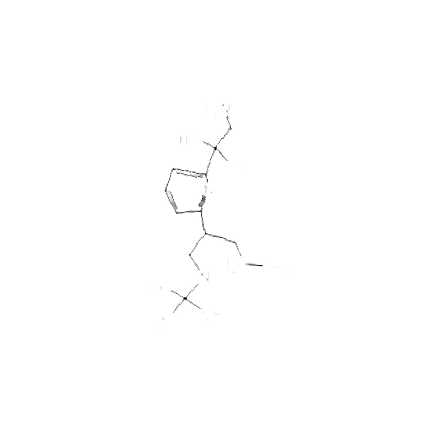 C[SiH2]CC(CNC(C)(C)C)c1cccc(C(C)(C)CN)n1